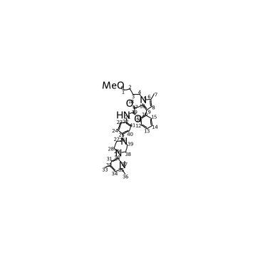 COCCCCn1c(C)cc(-c2ccccc2)c1C(=O)C(=O)Nc1ccc(N2CCN(c3cc(C)cc(C)n3)CC2)cc1